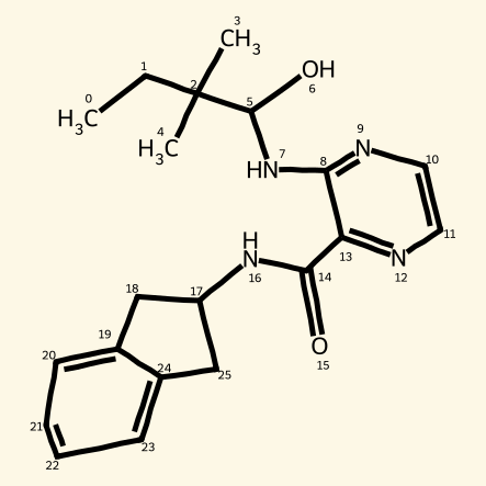 CCC(C)(C)C(O)Nc1nccnc1C(=O)NC1Cc2ccccc2C1